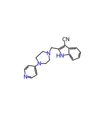 N#Cc1c(CN2CCN(c3ccncc3)CC2)[nH]c2ccccc12